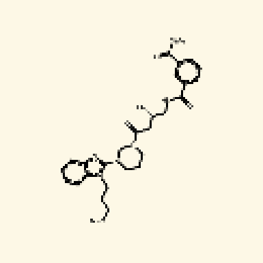 COCCCn1c([C@@H]2CCCN(C(=O)C[C@H](N)CNC(=O)c3cccc(C(=O)OC)c3)C2)nc2ccccc21